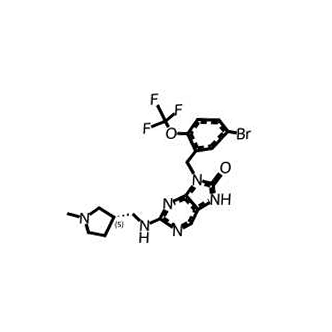 CN1CC[C@@H](CNc2ncc3[nH]c(=O)n(Cc4cc(Br)ccc4OC(F)(F)F)c3n2)C1